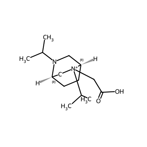 CC(C)N1C[C@H]2CC[C@@H]1C[N+]2(CC(=O)O)C(C)C